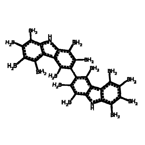 Bc1c(B)c(B)c2c([nH]c3c(B)c(B)c(-c4c(B)c(B)c5[nH]c6c(B)c(B)c(B)c(B)c6c5c4B)c(B)c32)c1B